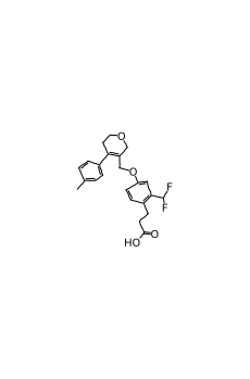 Cc1ccc(C2=C(COc3ccc(CCC(=O)O)c(C(F)F)c3)COCC2)cc1